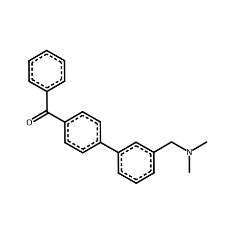 CN(C)Cc1cccc(-c2ccc(C(=O)c3ccccc3)cc2)c1